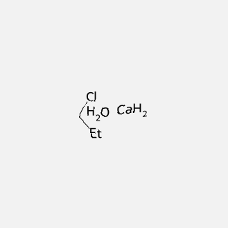 CCCCl.O.[CaH2]